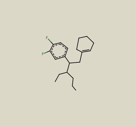 CCCC(CC)C(CC1=CCCCC1)c1ccc(F)c(F)c1